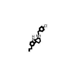 C=CCc1ccc2[nH]c3c(c2c1)CCCC3NCCc1ccc(Cl)cc1